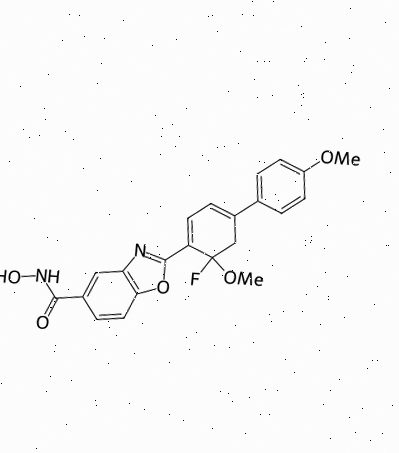 COc1ccc(C2=CC=C(c3nc4cc(C(=O)NO)ccc4o3)C(F)(OC)C2)cc1